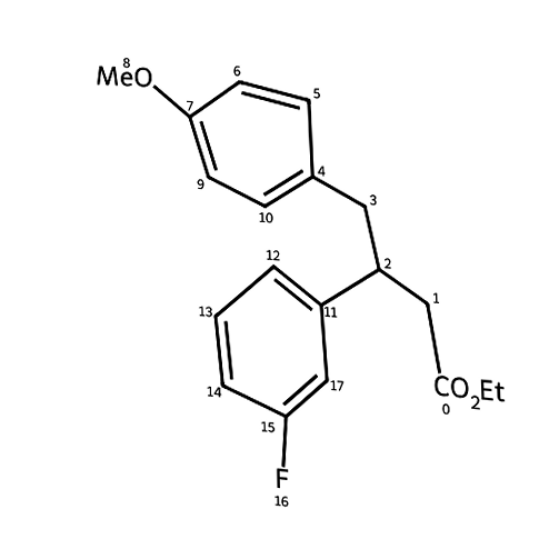 CCOC(=O)CC(Cc1ccc(OC)cc1)c1cccc(F)c1